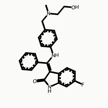 CN(CCO)Cc1ccc(NC(=C2C(=O)Nc3cc(F)ccc32)c2ccccc2)cc1